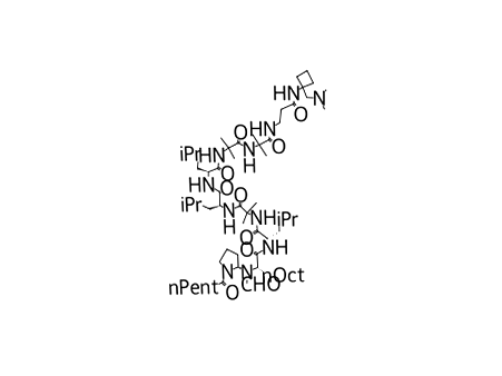 CCCCCCCC[C@@H](C(=O)N[C@@H](CC(C)C)C(=O)NC(C)(C)C(=O)N[C@@H](CC(C)C)C(=O)N[C@@H](CC(C)C)C(=O)NC(C)(C)C(=O)NC(C)(C)C(=O)NCCC(=O)NC1(CN(C)C)CCC1)N(C=O)[C@@H]1CCCN1C(=O)CCCCC